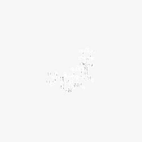 Cc1cc(-c2cn(C(C)C)c3ncnc(N)c23)ccc1NS(=O)(=O)c1ccccc1